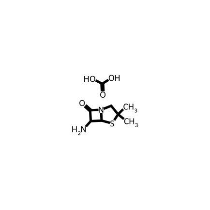 CC1(C)CN2C(=O)C(N)C2S1.O=C(O)O